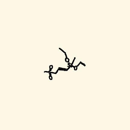 CCO[Si](C)(/C=C/CS(C)(=O)=O)OCC